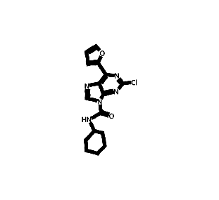 O=C(NC1CCCCC1)n1cnc2c(-c3ccco3)nc(Cl)nc21